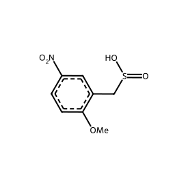 COc1ccc([N+](=O)[O-])cc1CS(=O)O